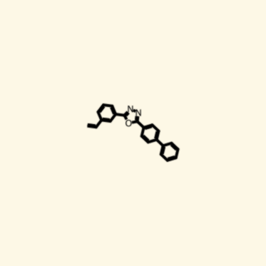 C=Cc1cccc(-c2nnc(-c3ccc(-c4ccccc4)cc3)o2)c1